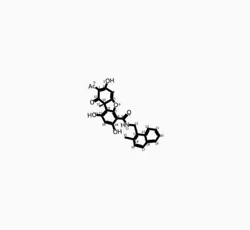 CC(=O)C1=C(O)C=C2Oc3c(C(=O)NCc4c(C)ccc5ccccc45)c(O)cc(O)c3[C@]2(C)C1=O